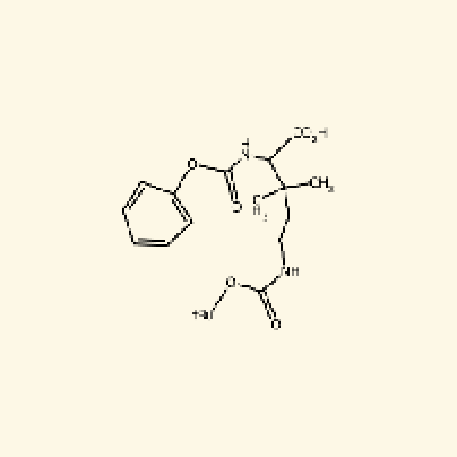 CC(C)(C)OC(=O)NCCC(C)(C)C(NC(=O)Oc1ccccc1)C(=O)O